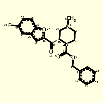 CN1CCN(C(=O)OCc2ccccc2)[C@H](C(=O)c2cc3cc(F)ccc3o2)C1